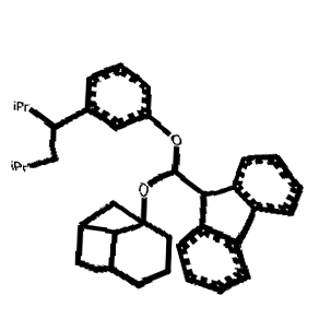 CC(C)CC(c1cccc(OC(OC23CCCC4CC(C2)C43)C2c3ccccc3-c3ccccc32)c1)C(C)C